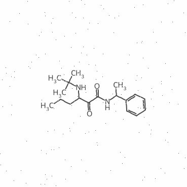 CCCC(NC(C)(C)C)C(=O)C(=O)NC(C)c1ccccc1